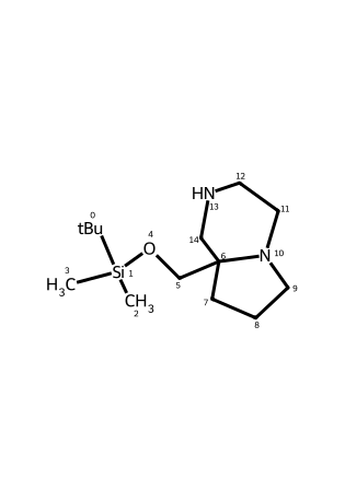 CC(C)(C)[Si](C)(C)OCC12CCCN1CCNC2